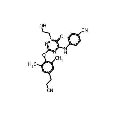 Cc1cc(CCC#N)cc(C)c1Oc1nc(Nc2ccc(C#N)cc2)c(=O)n(CCO)n1